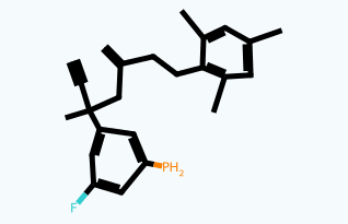 C#CC(C)(CC(=C)CCc1c(C)cc(C)cc1C)c1cc(F)cc(P)c1